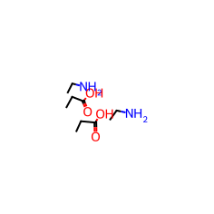 CCC(=O)O.CCC(=O)O.CCN.CCN